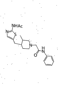 CC(=O)Nc1ncc(CC2CCN(CC(=O)Nc3ccccc3)CC2C)s1